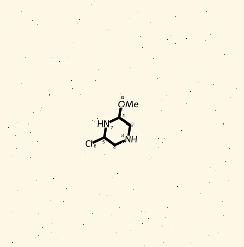 COC1CNCC(Cl)N1